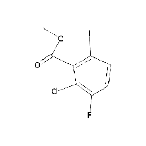 COC(=O)c1c(I)ccc(F)c1Cl